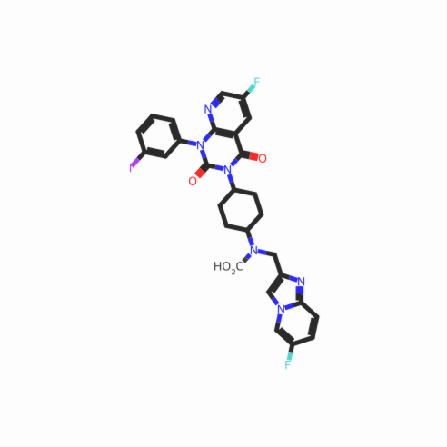 O=C(O)N(Cc1cn2cc(F)ccc2n1)C1CCC(n2c(=O)c3cc(F)cnc3n(-c3cccc(I)c3)c2=O)CC1